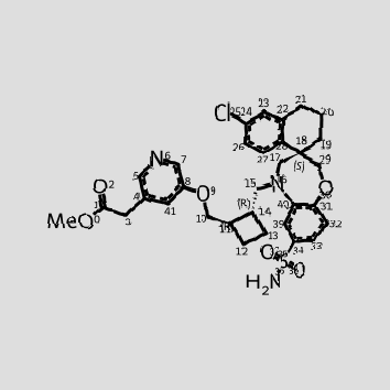 COC(=O)Cc1cncc(OC[C@@H]2CC[C@H]2CN2C[C@@]3(CCCc4cc(Cl)ccc43)COc3ccc(S(N)(=O)=O)cc32)c1